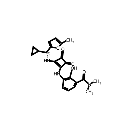 Cc1ccc([C@H](Nc2c(Nc3cccc(C(=O)N(C)C)c3O)c(=O)c2=O)C2CC2)o1